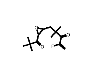 C=C(F)C(=O)C(C)(C)CC1OC1C(=O)C(C)(C)C